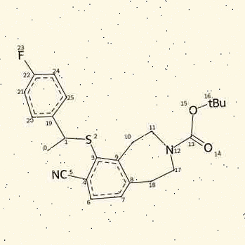 CC(Sc1c(C#N)ccc2c1CCN(C(=O)OC(C)(C)C)CC2)c1ccc(F)cc1